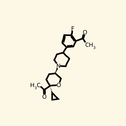 CC(=O)c1cc(C2CCN([C@@H]3CC[C@@](C(C)=O)(C4CC4)OC3)CC2)ccc1F